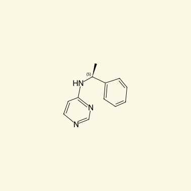 C[C@H](Nc1ccncn1)c1ccccc1